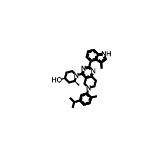 Cc1ccc(C(C)C)cc1N1CCc2nc(-c3cccc4[nH]cc(C)c34)nc(N3CC[C@H](O)C[C@@H]3C)c2C1